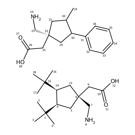 CC(C)(C)[C@@H]1C[C@@](CN)(CC(=O)O)C[C@@H]1C(C)(C)C.CC1C[C@](CN)(CC(=O)O)CC1c1ccccc1